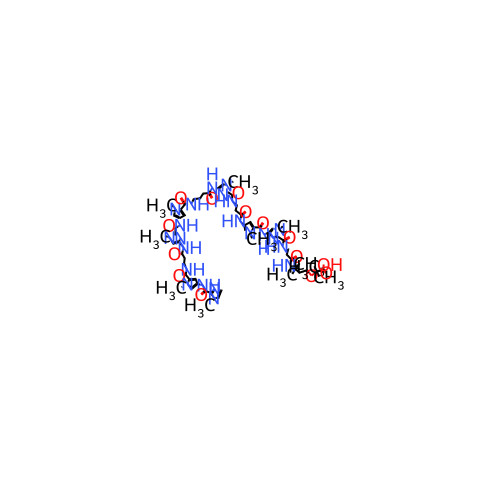 Cn1cc(NC(=O)c2nc(NC(=O)CCNC(=O)c3cc(NC(=O)c4nccn4C)cn3C)cn2C)cc1C(=O)NCCCC(=O)Nc1cn(C)c(C(=O)NCCC(=O)Nc2cc(C(=O)Nc3cn(C)c(C(=O)NCCC(=O)NC(C)(C)CCOC(C)(C)C(=O)O)n3)n(C)c2)n1